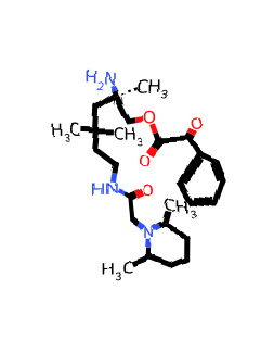 CC1CCCC(C)N1CC(=O)NCCC(C)(C)C[C@@](C)(N)COC(=O)C(=O)c1ccccc1